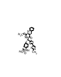 COC(=O)N[C@@H](Cc1ccccc1)C(=O)N[C@@H](Cc1ccc(NS(=O)(=O)O)cc1)c1csc(-c2csc(C)n2)n1